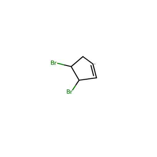 BrC1C=[C]CC1Br